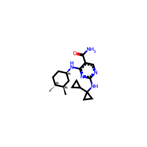 C[C@@H]1CC[C@@H](Nc2nc(NC3(C4CC4)CC3)ncc2C(N)=O)C[C@H]1C